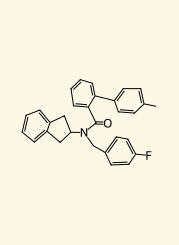 Cc1ccc(-c2ccccc2C(=O)N(Cc2ccc(F)cc2)C2Cc3ccccc3C2)cc1